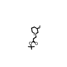 CC(C)(C)OC(=O)CCN1CCCC(F)C1